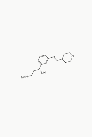 CNCC[C@@H](O)c1cccc(OCC2CCOCC2)c1